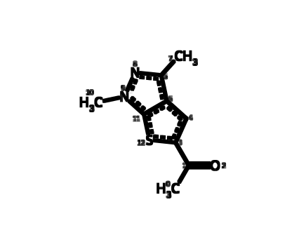 CC(=O)c1cc2c(C)nn(C)c2s1